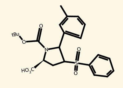 Cc1cccc(C2C(S(=O)(=O)c3ccccc3)C[C@@H](C(=O)O)N2C(=O)OC(C)(C)C)c1